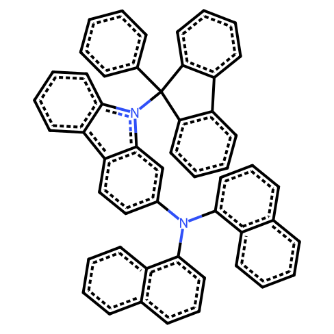 c1ccc(C2(n3c4ccccc4c4ccc(N(c5cccc6ccccc56)c5cccc6ccccc56)cc43)c3ccccc3-c3ccccc32)cc1